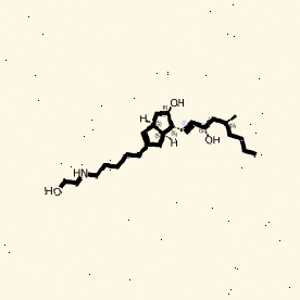 CCCC[C@H](C)C[C@H](O)/C=C/[C@@H]1[C@H]2CC(CCCCCNCCO)=C[C@H]2C[C@H]1O